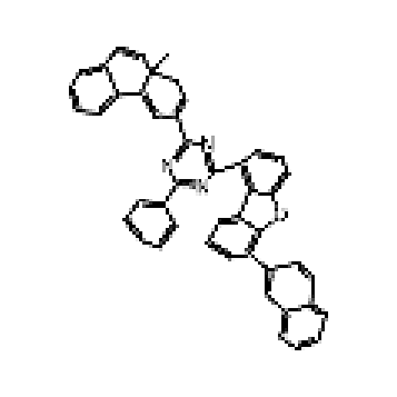 CC12C=Cc3ccccc3C1=CC(c1nc(-c3ccccc3)nc(-c3cccc4oc5c(-c6ccc7ccccc7c6)cccc5c34)n1)=CC2